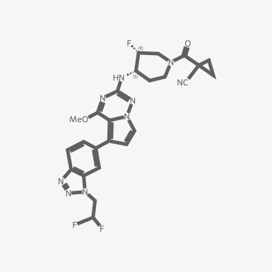 COc1nc(N[C@H]2CCN(C(=O)C3(C#N)CC3)C[C@H]2F)nn2ccc(-c3ccc4nnn(CC(F)F)c4c3)c12